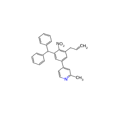 C=CCc1cc(-c2ccnc(C)c2)cc([C](c2ccccc2)c2ccccc2)c1[N+](=O)[O-]